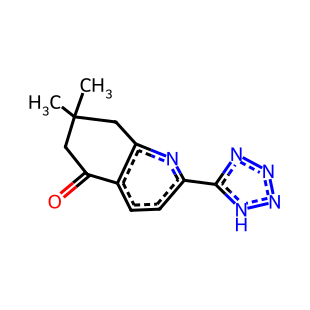 CC1(C)CC(=O)c2ccc(-c3nnn[nH]3)nc2C1